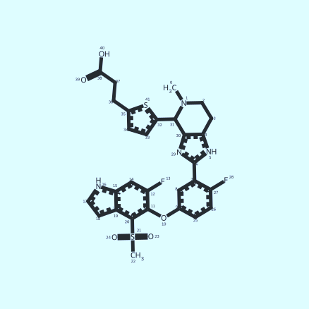 CN1CCc2[nH]c(-c3cc(Oc4c(F)cc5[nH]ccc5c4S(C)(=O)=O)ccc3F)nc2C1c1ccc(CCC(=O)O)s1